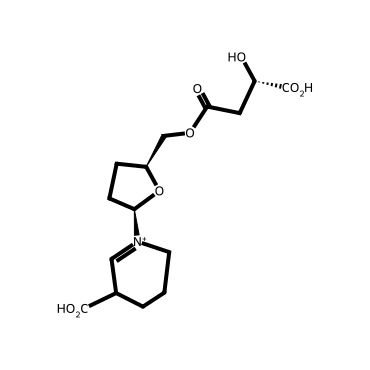 O=C(C[C@H](O)C(=O)O)OC[C@@H]1CC[C@H]([N+]2=CC(C(=O)O)CCC2)O1